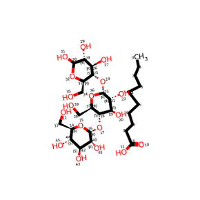 CCCCCCCCCC(=O)O.OC[C@H]1O[C@H](O[C@H]2[C@H](O)[C@@H](O)[C@@H](O[C@H]3[C@H](O)[C@@H](O)C(O)O[C@@H]3CO)O[C@@H]2CO)[C@H](O)[C@@H](O)[C@@H]1O